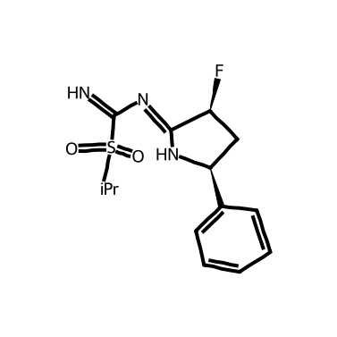 CC(C)S(=O)(=O)C(=N)/N=C1\N[C@H](c2ccccc2)C[C@@H]1F